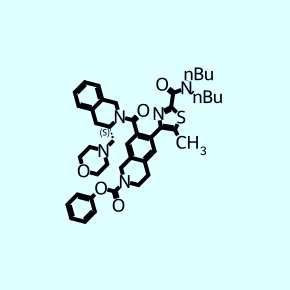 CCCCN(CCCC)C(=O)c1nc(-c2cc3c(cc2C(=O)N2Cc4ccccc4C[C@H]2CN2CCOCC2)CN(C(=O)Oc2ccccc2)CC3)c(C)s1